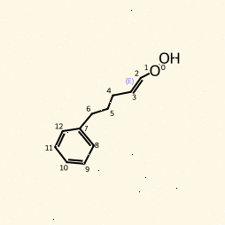 OO/C=C/CCCc1ccccc1